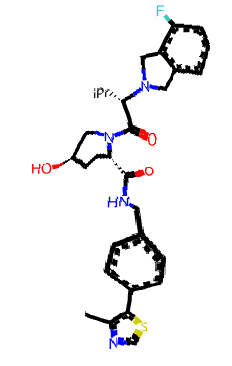 Cc1ncsc1-c1ccc(CNC(=O)[C@@H]2C[C@@H](O)CN2C(=O)[C@H](C(C)C)N2Cc3cccc(F)c3C2)cc1